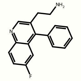 NCCc1cnc2ccc(F)cc2c1-c1ccccc1